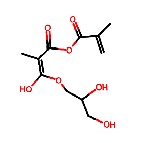 C=C(C)C(=O)OC(=O)C(C)=C(O)OCC(O)CO